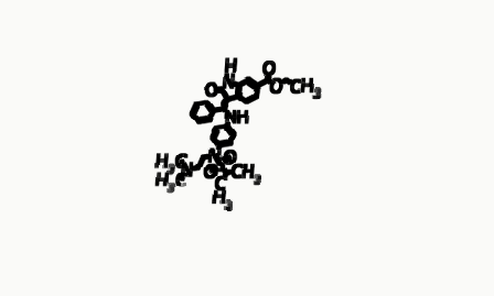 CCOC(=O)c1ccc2c(c1)NC(=O)C2=C(Nc1ccc(N(CCN(C)C)S(=O)(=O)C(C)C)cc1)c1ccccc1